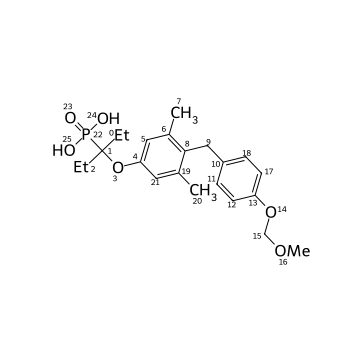 CCC(CC)(Oc1cc(C)c(Cc2ccc(OCOC)cc2)c(C)c1)P(=O)(O)O